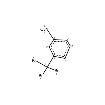 O=[N+]([O-])c1cccc(C(Br)(Br)Br)c1